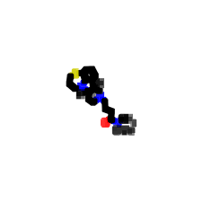 CON(C)C(=O)CCCN1CC[C@H]2[C@@H](C1)c1cccc3c1N2CCCS3